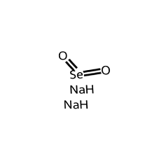 O=[Se]=O.[NaH].[NaH]